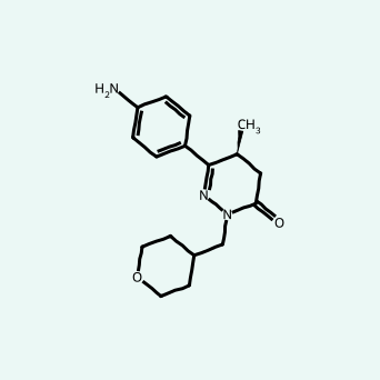 C[C@H]1CC(=O)N(CC2CCOCC2)N=C1c1ccc(N)cc1